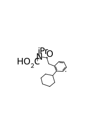 CC(C)N(C(=O)O)C(=O)Cc1ccc[c]c1C1CCCCC1